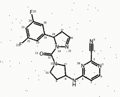 N#Cc1nccc(NC2CCN(C(=O)N3N=CCC3c3cc(F)cc(F)c3)C2)n1